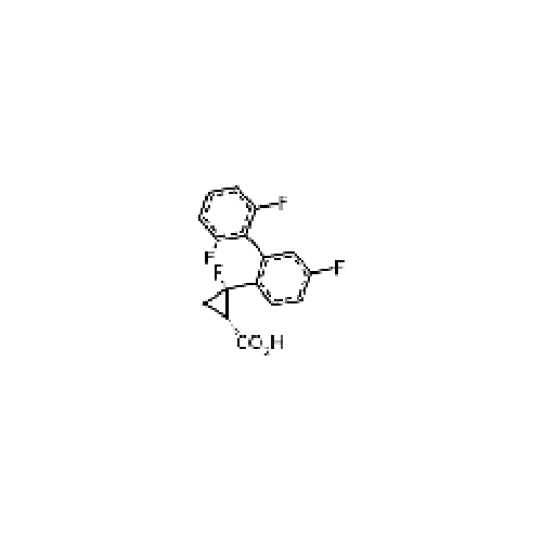 O=C(O)[C@@H]1C[C@@]1(F)c1ccc(F)cc1-c1c(F)cccc1F